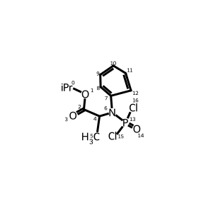 CC(C)OC(=O)C(C)N(c1ccccc1)P(=O)(Cl)Cl